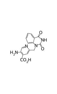 Nc1cnc(Cn2c(=O)[nH]c(=O)c3ccccc32)cc1C(=O)O